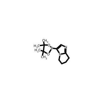 CC1(C)OB(c2cnc3n2CCCC3)OC1(C)C